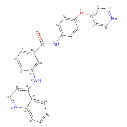 O=C(Nc1ccc(Oc2ccncc2)cc1)c1cccc(Nc2ccnc3ccccc23)c1